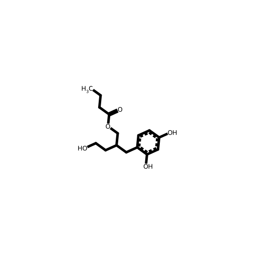 CCCC(=O)OCC(CCO)Cc1ccc(O)cc1O